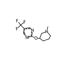 CN1CCCC(Oc2ncc(C(F)(F)F)cn2)C1